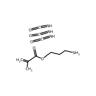 C=C(C)C(=O)OCCC[SiH3].N=C=O.N=C=O.N=C=O